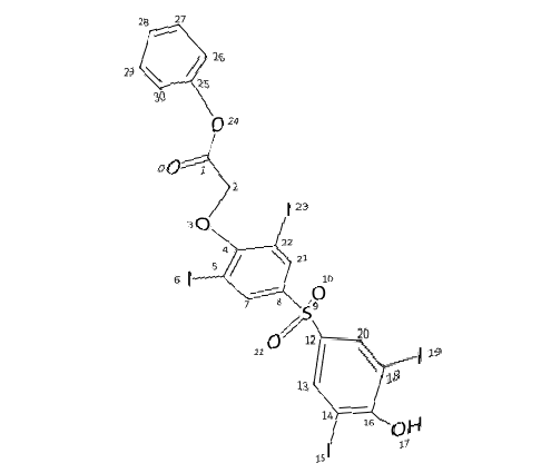 O=C(COc1c(I)cc(S(=O)(=O)c2cc(I)c(O)c(I)c2)cc1I)Oc1ccccc1